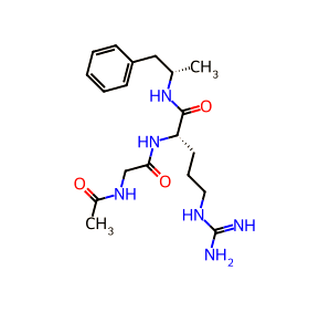 CC(=O)NCC(=O)N[C@@H](CCCNC(=N)N)C(=O)N[C@@H](C)Cc1ccccc1